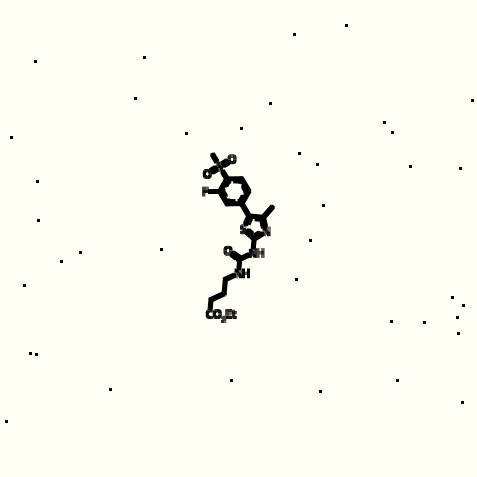 CCOC(=O)CCCNC(=O)Nc1nc(C)c(-c2ccc(S(C)(=O)=O)c(F)c2)s1